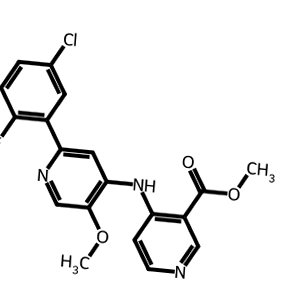 COC(=O)c1cnccc1Nc1cc(-c2cc(Cl)ccc2F)ncc1OC